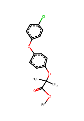 CC(C)OC(=O)C(C)(C)Oc1ccc(Oc2ccc(Cl)cc2)cc1